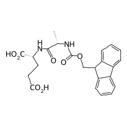 C[C@H](NC(=O)OCC1c2ccccc2-c2ccccc21)C(=O)N[C@H](CCC(=O)O)C(=O)O